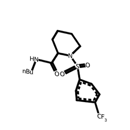 CCCCNC(=O)C1CCCCN1S(=O)(=O)c1ccc(C(F)(F)F)cc1